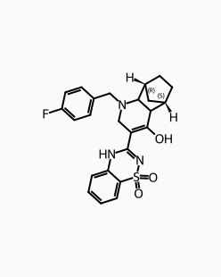 O=S1(=O)N=C(C2=C(O)C3C([C@@H]4CC[C@H]3C4)N(Cc3ccc(F)cc3)C2)Nc2ccccc21